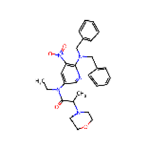 CCN(C(=O)C(C)N1CCOCC1)c1cnc(N(Cc2ccccc2)Cc2ccccc2)c([N+](=O)[O-])c1